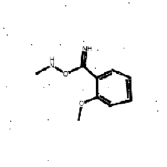 CNOC(=N)c1ccccc1OC